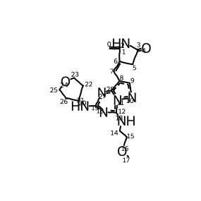 C=C1NC(=O)C/C1=C\c1cnn2c(NCCOC)nc(NC3CCOCC3)nc12